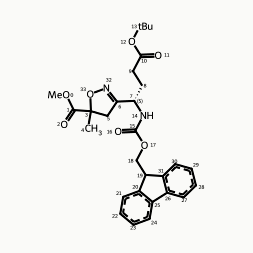 COC(=O)C1(C)CC([C@H](CCC(=O)OC(C)(C)C)NC(=O)OCC2c3ccccc3-c3ccccc32)=NO1